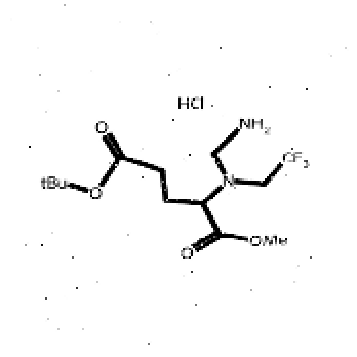 COC(=O)C(CCC(=O)OC(C)(C)C)N(CN)CC(F)(F)F.Cl